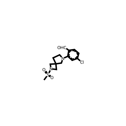 CS(=O)(=O)N1CC2(CCN(c3cc(Cl)ccc3C=O)C2)C1